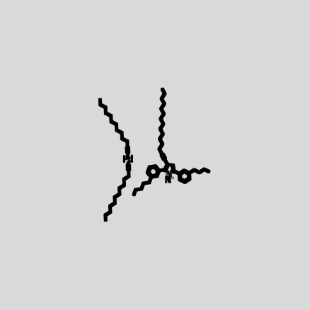 CCCCCCCCCCCC#[C][Pd][C]#CCCCCCCCCCCC.CCCCCCCCCCCCCC#CC1=C(c2cccc(CCCCC)c2)[N+](=[N-])C(c2cccc(CCCC)c2)=C1